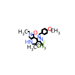 CCN1CC2=C(C1=O)c1c(c(C(F)(F)F)nn1Cc1ccc(OC)cc1)C(C)(C)CN2